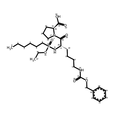 CCCCCCP(=O)(N[C@@H](CCCCNC(=O)OCc1ccccc1)C(=O)N1CCC[C@H]1C(=O)O)OCC